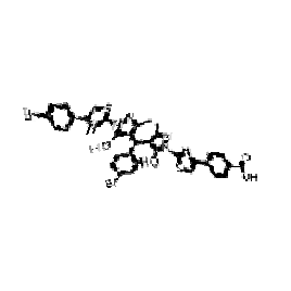 Cc1nn(-c2nc(-c3ccc(Br)cc3)cs2)c(O)c1C(c1ccc(Br)cc1)c1c(C)nn(-c2nc(-c3ccc(C(=O)O)cc3)cs2)c1O